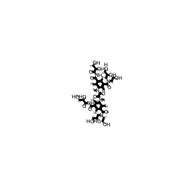 CN(C(=O)C(=O)N(C)c1c(I)c(C(=O)NC(=O)C(O)CO)c(I)c(C(=O)N(CCO)CC(O)CO)c1I)c1c(I)c(C(=O)NC(=O)C(O)CO)c(I)c(C(=O)N(CCO)CC(O)CO)c1I